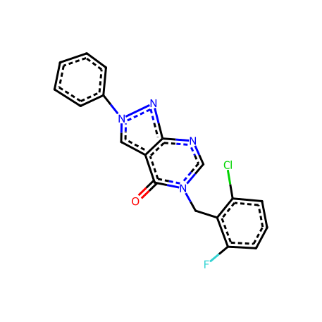 O=c1c2cn(-c3ccccc3)nc2ncn1Cc1c(F)cccc1Cl